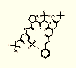 CC(C)(C)OC(=O)C[C@@H](/C=C/S(C)(=O)=O)NC(=O)[C@H]1CCCN1C(=O)C(NC(=O)[C@H](CC(=O)OC(C)(C)C)NC(=O)OCc1ccccc1)C(C)(C)C